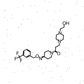 O=C(CCN1CCN(CCO)CC1)N1CCC(=NOCc2cccc(C(F)(F)F)c2)CC1